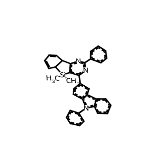 C[Si]1(C)c2c(-c3ccc4c(c3)c3ccccc3n4-c3ccccc3)nc(-c3ccccc3)nc2C2C=CC=CC21